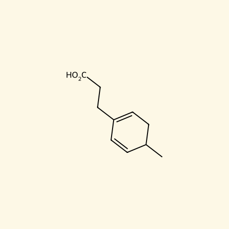 CC1C=CC(CCC(=O)O)=CC1